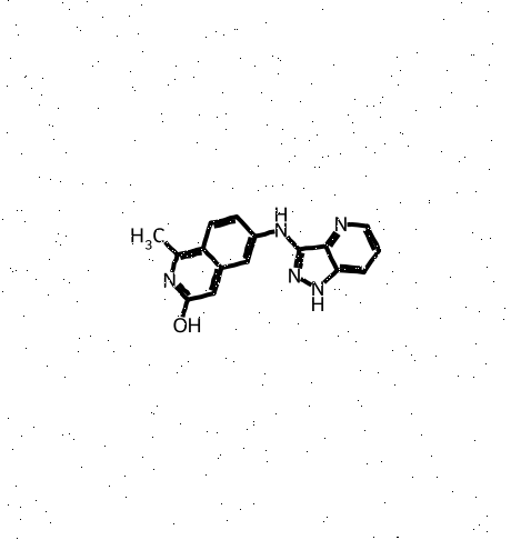 Cc1nc(O)cc2cc(Nc3n[nH]c4cccnc34)ccc12